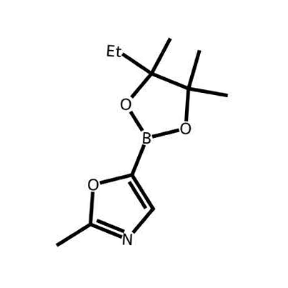 CCC1(C)OB(c2cnc(C)o2)OC1(C)C